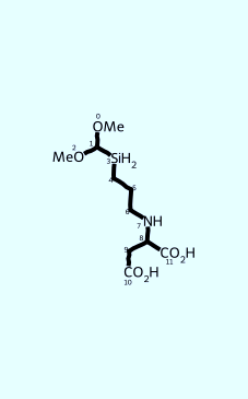 COC(OC)[SiH2]CCCNC(CC(=O)O)C(=O)O